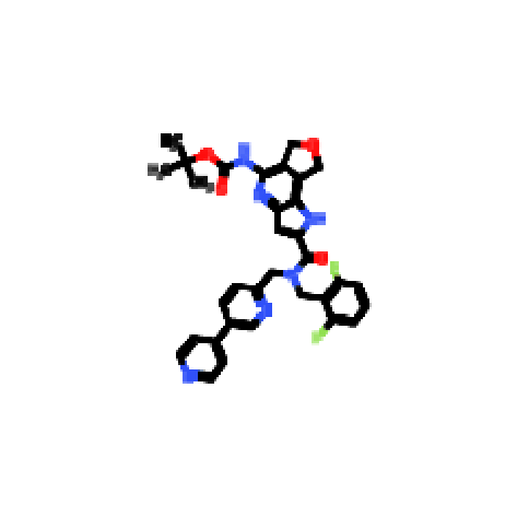 CC(C)(C)OC(=O)Nc1nc2cc(C(=O)N(Cc3ccc(-c4ccncc4)cn3)Cc3c(F)cccc3F)[nH]c2c2c1COC2